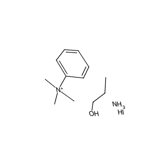 CCCO.C[N+](C)(C)c1ccccc1.I.N